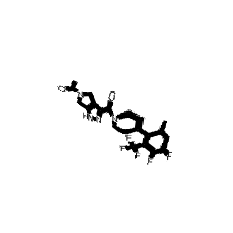 CC(=O)N1Cc2[nH]nc(C(=O)N3CCC(C4C(C(F)(F)F)=C(F)C(F)=CC4C)CC3)c2C1